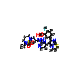 CCN1CCCN(CCNc2nccc(-c3c(-c4ccc(F)c(O)c4)nc4sccn34)n2)S1(=O)=O